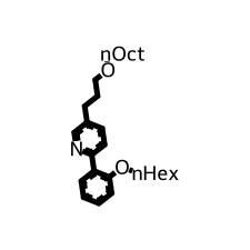 CCCCCCCCOCCCc1ccc(-c2ccccc2OCCCCCC)nc1